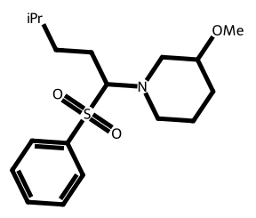 COC1CCCN(C(CCC(C)C)S(=O)(=O)c2ccccc2)C1